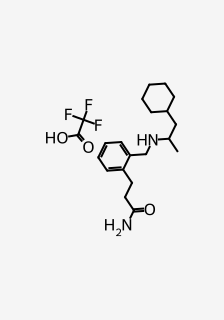 CC(CC1CCCCC1)NCc1ccccc1CCC(N)=O.O=C(O)C(F)(F)F